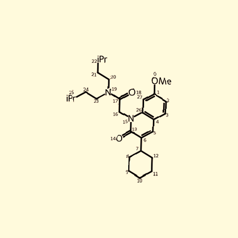 COc1ccc2cc(C3CCCCC3)c(=O)n(CC(=O)N(CCC(C)C)CCC(C)C)c2c1